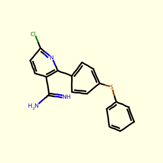 N=C(N)c1ccc(Cl)nc1-c1ccc(Sc2ccccc2)cc1